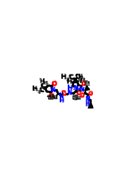 CC[C@@H]1C[C@@]1(NC(=O)[C@@H]1[C@@H]2[C@H](CN1C(=O)[C@@H](NCON[C@H](CN1C(=O)CC(C)(C)CC1=O)C(C)(C)C)C(C)(C)C)C2(C)C)C(=O)C(=O)NCC1CC1